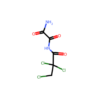 NC(=O)C(=O)NC(=O)C(Cl)(Cl)CCl